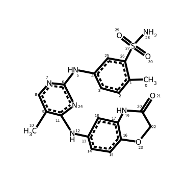 Cc1ccc(Nc2ncc(C)c(Nc3ccc4c(c3)NC(=O)CO4)n2)cc1S(N)(=O)=O